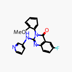 COc1ccccc1-n1c(Nc2cccnc2)nc2ccc(F)cc2c1=O